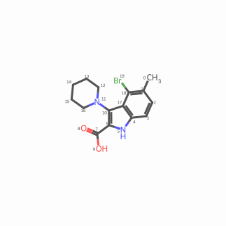 Cc1ccc2[nH]c(C(=O)O)c(N3CCCCC3)c2c1Br